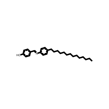 CCCCCCCCCCCCCCc1ccc(N=Cc2ccc(O)cc2)cc1